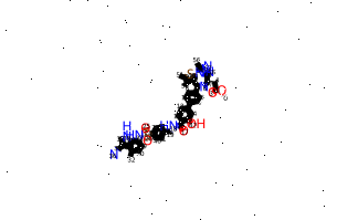 COC(=O)C[C@@H]1N=C(c2ccc(-c3ccc(C(=O)NCc4ccc(S(=O)(=O)Nc5ccc(C)c6c(C#N)c[nH]c56)cc4)c(O)c3)cc2)c2c(sc(C)c2C)-n2c(C)nnc21